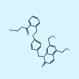 CCOC(=O)c1ccccc1COc1ccc(Cn2c(=O)ccc3c(CC)nc(CC)cc32)cc1